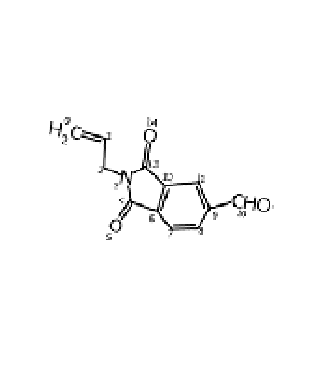 C=CCN1C(=O)c2ccc([C]=O)cc2C1=O